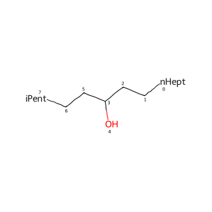 CCCCCCCCCC(O)CCC(C)CCC